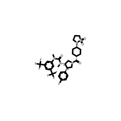 CN(C(=O)N(C)[C@@H]1CN(C(=O)[C@H]2CC[C@H](N3CCCS3(=O)=O)CC2)C[C@H]1c1ccc(F)cc1)c1cc(C(F)(F)F)cc(C(F)(F)F)c1